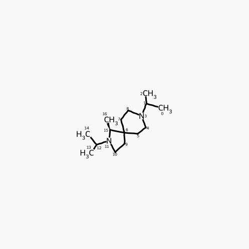 CC(C)N1CCC2(CC1)CCN(C(C)C)[C@H]2C